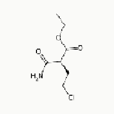 CCOC(=O)[C@@H](CCCl)C(N)=O